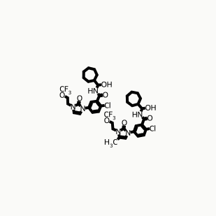 Cc1cn(-c2ccc(Cl)c(C(=O)NC(O)C3CCCCCC3)c2)c(=O)n1CCOC(F)(F)F.O=C(NC(O)C1CCCCCC1)c1cc(-n2ccn(CCOC(F)(F)F)c2=O)ccc1Cl